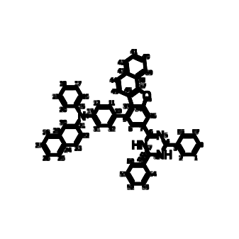 c1ccc(C2N=C(c3cc(-c4ccc(N(c5ccccc5)c5ccc6ccccc6c5)cc4)c4c(c3)oc3c5ccccc5ccc34)NC(c3ccccc3)N2)cc1